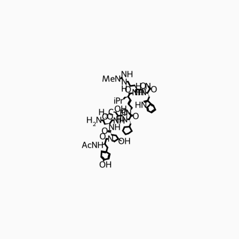 CNC(=N)NCCC[C@H](NC(=O)[C@@H](/C=C/CNC(=O)[C@H](CC1CCCCC1)NC(=O)[C@@H](NC(=O)[C@H](CC(N)=O)NC(=O)[C@@H]1C[C@@H](O)CN1C(=O)[C@@H](Cc1ccc(O)cc1)NC(C)=O)[C@@H](C)O)CC(C)C)C(=O)N[C@@H](Cc1c[nH]c2ccccc12)C(N)=O